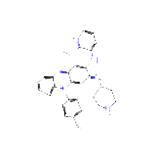 COc1ncccc1Nc1cc2nc3ccccc3n(-c3ccc(C)cc3)c-2c/c1=N\C1CCN(C)CC1